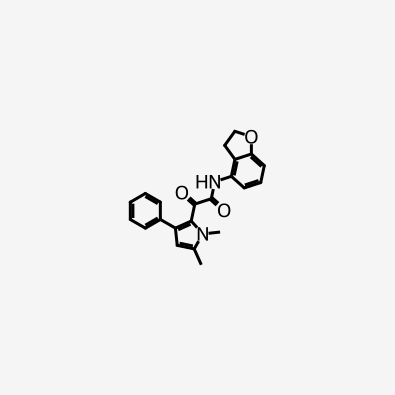 Cc1cc(-c2ccccc2)c(C(=O)C(=O)Nc2cccc3c2CCO3)n1C